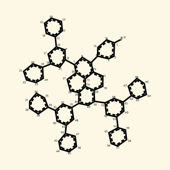 Fc1ccc(-c2cc(-c3cc(-c4ccccc4)cc(-c4ccccc4)c3)c3ccc4c(-c5cc(-c6ccccc6)cc(-c6ccccc6)c5)cc(-c5cc(-c6ccccc6)cc(-c6ccccc6)c5)c5ccc2c3c54)cc1